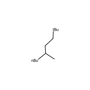 CCCCC(C)CCC(C)(C)C